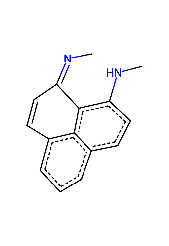 C/N=C1/C=Cc2cccc3ccc(NC)c1c23